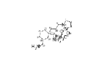 CO[Si]1(OC)CCCN1CCCC1(CN)CCCC(CN)C1